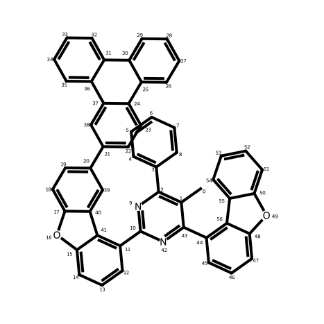 Cc1c(-c2ccccc2)nc(-c2cccc3oc4ccc(-c5ccc6c7ccccc7c7ccccc7c6c5)cc4c23)nc1-c1cccc2oc3ccccc3c12